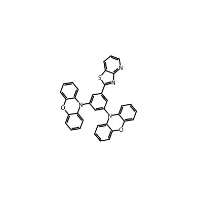 c1ccc2c(c1)Oc1ccccc1N2c1cc(-c2nc3ncccc3s2)cc(N2c3ccccc3Oc3ccccc32)c1